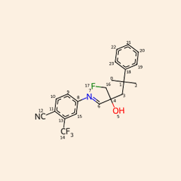 CC(C)(CC(O)(C=Nc1ccc(C#N)c(C(F)(F)F)c1)CF)c1ccccc1